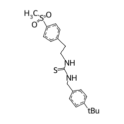 CC(C)(C)c1ccc(CNC(=S)NCCc2ccc(S(C)(=O)=O)cc2)cc1